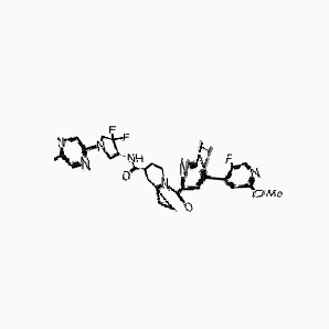 COc1cc(-c2cc(C(=O)N3CC[C@H](C(=O)N[C@@H]4CN(c5cnc(C)cn5)CC4(F)F)CC34CC4)n[nH]2)c(F)cn1